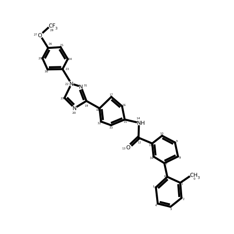 Cc1ccccc1-c1cccc(C(=O)Nc2ccc(-c3ncn(-c4ccc(OC(F)(F)F)cc4)n3)cc2)c1